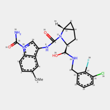 COc1ccc2c(c1)c(NC(=O)N1[C@@H]3CC3C[C@H]1C(O)NCc1cccc(Cl)c1F)cn2C(N)=O